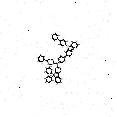 c1ccc(-c2ccc(N(c3ccc(-c4ccc5c6ccccc6n(-c6ccc(-c7ccccc7)cc6)c5c4)cc3)c3ccc4c(c3)C(c3ccccc3)(c3ccccc3)c3ccccc3-4)cc2)cc1